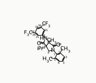 Cc1cccc(C)c1N1C[C@](C(=O)Nc2cc(C(F)(F)F)cc(C(F)(F)F)c2)(C(C)C)[C@H](C)C1=O